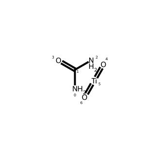 NC(N)=O.[O]=[Ti]=[O]